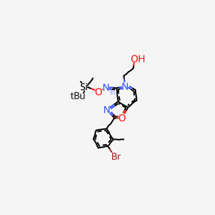 Cc1c(Br)cccc1-c1nc2/c(=N\O[Si](C)(C)C(C)(C)C)n(CCO)ccc2o1